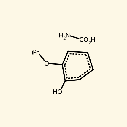 CC(C)Oc1ccccc1O.NC(=O)O